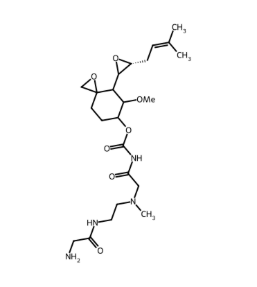 COC1C(OC(=O)NC(=O)CN(C)CCNC(=O)CN)CCC2(CO2)C1C1O[C@@H]1CC=C(C)C